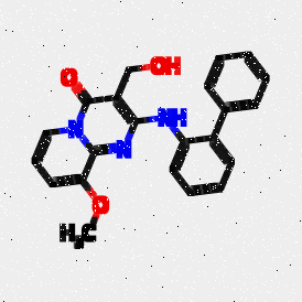 COc1cccn2c(=O)c(CO)c(Nc3ccccc3-c3ccccc3)nc12